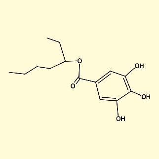 CCCCC(CC)OC(=O)c1cc(O)c(O)c(O)c1